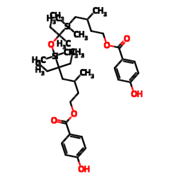 CCC(C)(O[Si](C)(C)C(CC)(CC)CC(C)CCOC(=O)c1ccc(O)cc1)[Si](C)(C)CC(C)CCOC(=O)c1ccc(O)cc1